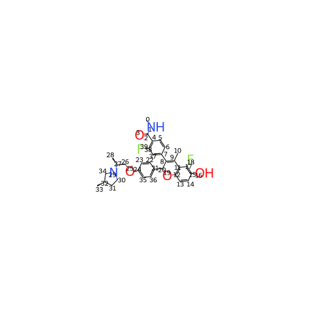 CNC(=O)c1ccc(C2=C(C)c3c(ccc(O)c3F)OC2c2ccc(OC[C@H](C)N3CC[C@@H](C)C3)cc2)cc1F